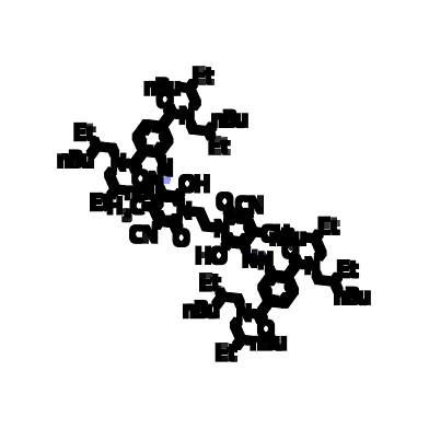 [C-]#[N+]c1c(C)c(/N=N/c2cc(C(=O)N(CC(CC)CCCC)CC(CC)CCCC)ccc2C(=O)N(CC(CC)CCCC)CC(CC)CCCC)c(O)n(CCn2c(O)c(/N=N/c3cc(C(=O)N(CC(CC)CCCC)CC(CC)CCCC)ccc3C(=O)N(CC(CC)CCCC)CC(CC)CCCC)c(C)c(C#N)c2=O)c1=O